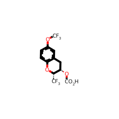 O=C(O)O[C@H]1Cc2cc(OC(F)(F)F)ccc2O[C@H]1C(F)(F)F